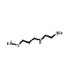 CNCCNCCCON